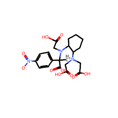 CC(C(=O)O)(c1ccc([N+](=O)[O-])cc1)N(CC(=O)O)C1CCCCC1N(CC(=O)O)CC(=O)O